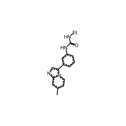 CCNC(=O)Nc1cccc(-c2cnc3cc(C)ccn23)c1